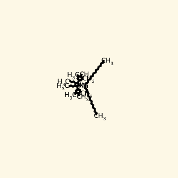 CCCCC1=C(c2cc(C)c(C)c(C)c2)[N+](=[N-])C(c2cc(C)c(C)c(C)c2)=C1CCCC.CCCCCCCCCCCCCC[CH2][Ni][CH2]CCCCCCCCCCCCCC